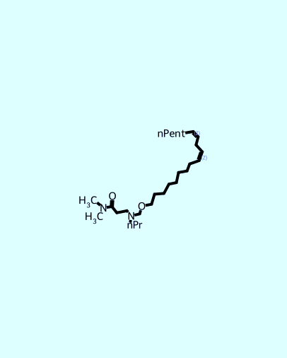 CCCCC/C=C\C/C=C\CCCCCCCCOCN(CCC)CCC(=O)N(C)C